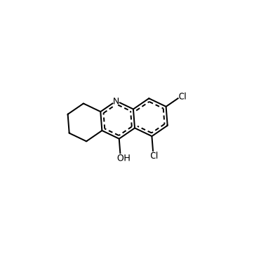 Oc1c2c(nc3cc(Cl)cc(Cl)c13)CCCC2